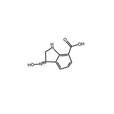 O=C(O)c1cccc2c1NC/C2=N\O